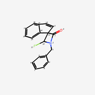 O=C1N(Cc2ccccc2)C(F)C12C=Cc1ccccc12